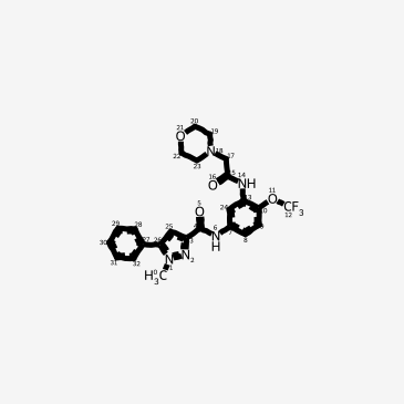 Cn1nc(C(=O)Nc2ccc(OC(F)(F)F)c(NC(=O)CN3CCOCC3)c2)cc1-c1ccccc1